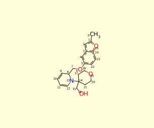 Cc1cc2cc(OCC3C=CC=CN3C3(CO)CCOCC3)ccc2o1